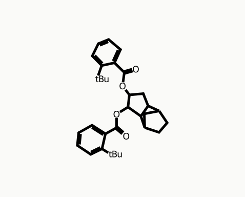 CC(C)(C)c1ccccc1C(=O)OC1CC2C3CCC(C3)C2C1OC(=O)c1ccccc1C(C)(C)C